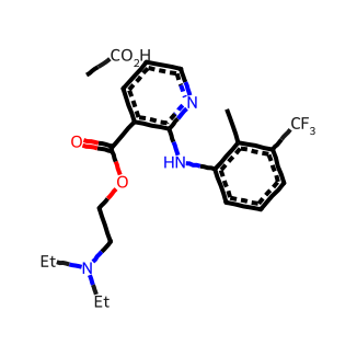 CC(=O)O.CCN(CC)CCOC(=O)c1cccnc1Nc1cccc(C(F)(F)F)c1C